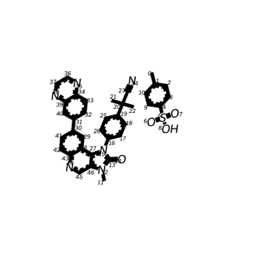 Cc1ccc(S(=O)(=O)O)cc1.Cn1c(=O)n(-c2ccc(C(C)(C)C#N)cc2)c2c3cc(-c4ccc5nccnc5c4)ccc3ncc21